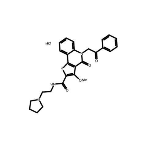 COc1c(C(=O)NCCN2CCCC2)sc2c1c(=O)n(CC(=O)c1ccccc1)c1ccccc21.Cl